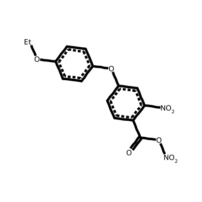 CCOc1ccc(Oc2ccc(C(=O)O[N+](=O)[O-])c([N+](=O)[O-])c2)cc1